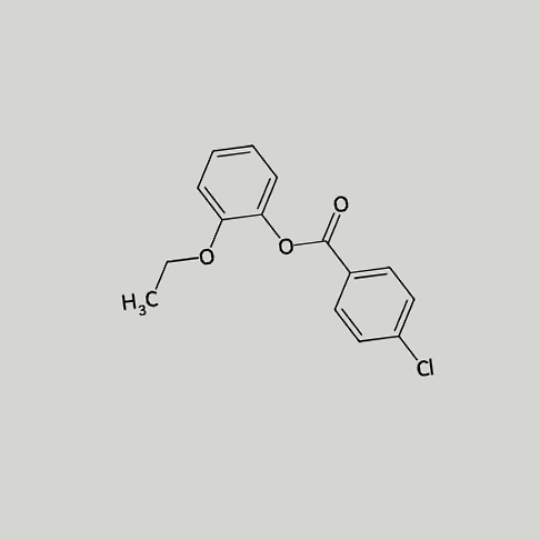 CCOc1ccccc1OC(=O)c1ccc(Cl)cc1